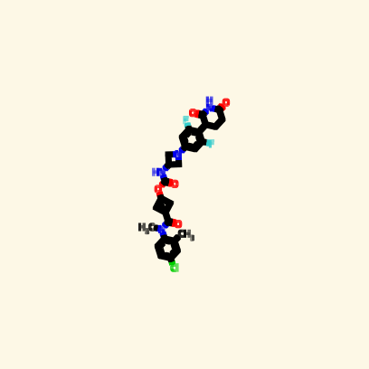 Cc1cc(Cl)ccc1N(C)C(=O)C12CC(OC(=O)NC3CN(c4cc(F)c(C5CCC(=O)NC5=O)c(F)c4)C3)(C1)C2